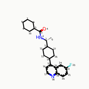 C[C@@H](NC(=O)C1CCCCC1)C1CCC(c2ccnc3ccc(F)cc23)CC1